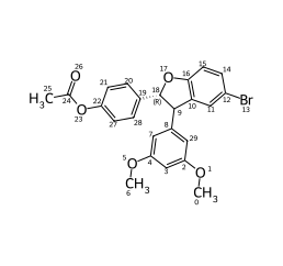 COc1cc(OC)cc(C2c3cc(Br)ccc3O[C@H]2c2ccc(OC(C)=O)cc2)c1